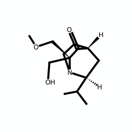 COC[C@@]1(CO)C(=O)[C@@H]2CCN1[C@H](C(C)C)C2